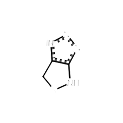 C1SNc2nn[nH]c21